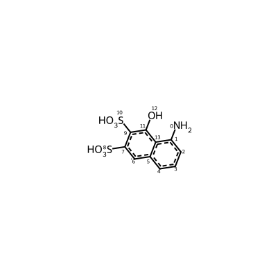 Nc1cccc2[c]c(S(=O)(=O)O)c(S(=O)(=O)O)c(O)c12